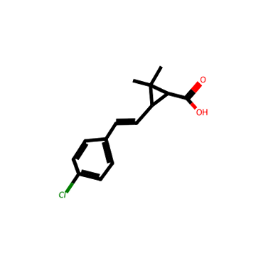 CC1(C)C(C=Cc2ccc(Cl)cc2)C1C(=O)O